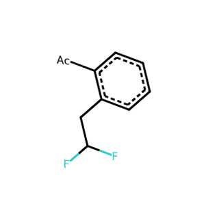 CC(=O)c1ccccc1CC(F)F